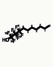 CCCCCCCC(F)(F)C(F)(F)C(O)(F)F